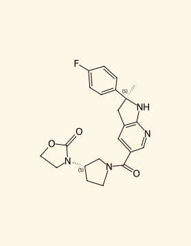 C[C@@]1(c2ccc(F)cc2)Cc2cc(C(=O)N3CC[C@H](N4CCOC4=O)C3)cnc2N1